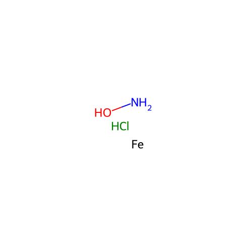 Cl.NO.[Fe]